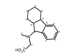 CN(CC(=O)O)C1c2ccccc2C2CCCCC21